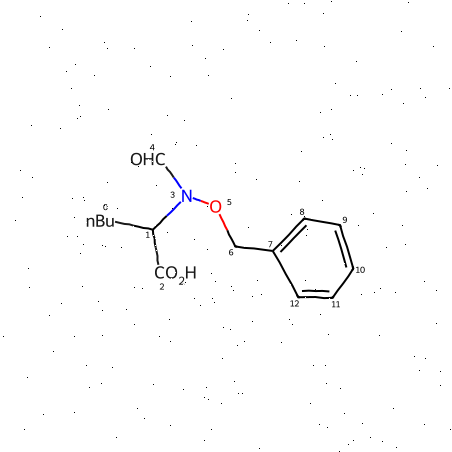 CCCCC(C(=O)O)N(C=O)OCc1ccccc1